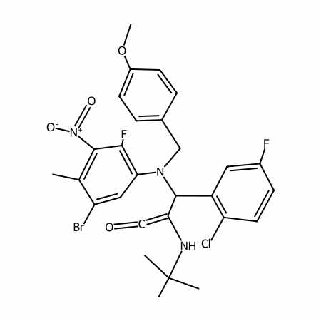 COc1ccc(CN(c2cc(Br)c(C)c([N+](=O)[O-])c2F)C(C(=C=O)NC(C)(C)C)c2cc(F)ccc2Cl)cc1